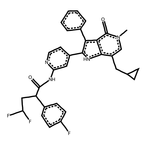 Cn1cc(CC2CC2)c2[nH]c(-c3ccnc(NC(=O)C(CC(F)F)c4ccc(F)cc4)c3)c(-c3ccccc3)c2c1=O